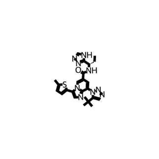 CC[C@H](NC(=O)c1cc(-n2nncc2C(C)(C)C)c2ncc(-c3ccc(C)s3)n2c1)c1nnc[nH]1